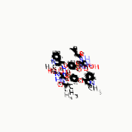 CCC(C)C(=O)N1CC(NS(=O)(=O)c2ccc(OCc3cc(C)nc4ccccc34)cc2)(C(=O)NO)C1.Cc1cc(COc2ccc(S(=O)(=O)NC3(C(=O)NO)CN(C(=O)CC4CC4)C3)cc2)c2ccccc2n1